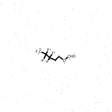 O=[C]OCCC(F)(F)C(F)(F)C(F)(F)F